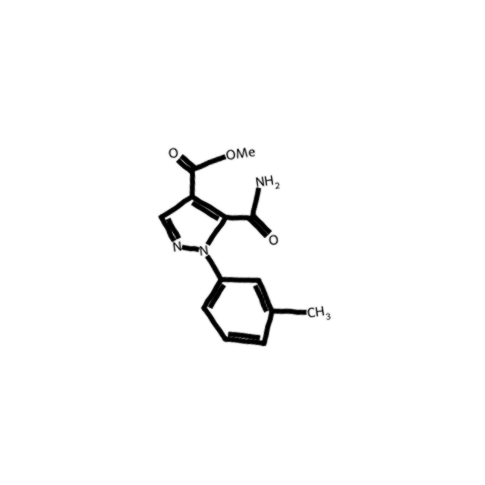 COC(=O)c1cnn(-c2cccc(C)c2)c1C(N)=O